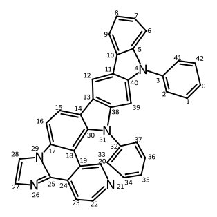 c1ccc(-n2c3ccccc3c3cc4c5ccc6c(c7cnccc7c7nccn67)c5n(-c5ccccc5)c4cc32)cc1